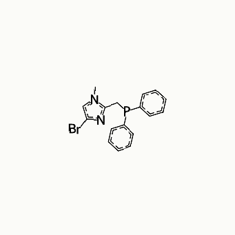 Cn1cc(Br)nc1CP(c1ccccc1)c1ccccc1